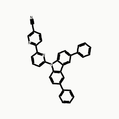 N#Cc1ccc(-c2cccc(-n3c4ccc(-c5ccccc5)cc4c4cc(-c5ccccc5)ccc43)n2)nc1